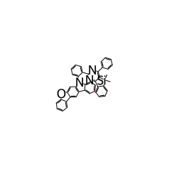 C[Si]1(C)c2ccccc2-c2nc(-c3ccccc3-n3c4ccccc4c4cc5c(cc43)oc3ccccc35)nc(-c3ccccc3)c21